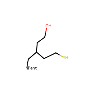 CCCCCCC(CCO)CCS